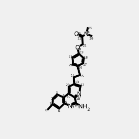 Cc1ccc2c(c1)nc(N)c1ncc(CCc3ccc(OCC(=O)N(C)C)cc3)cc12